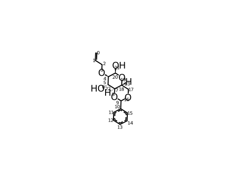 C=CCO[C@@H]1[C@@H](O)[C@@H]2OC(c3ccccc3)OC[C@H]2O[C@@H]1O